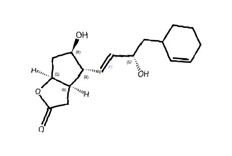 O=C1C[C@@H]2[C@@H](/C=C/[C@@H](O)CC3C=CCCC3)[C@H](O)C[C@@H]2O1